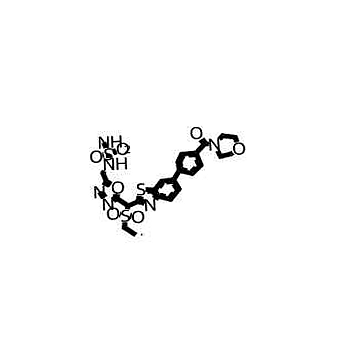 [CH2]CS(=O)(=O)C(c1nnc(CNS(N)(=O)=O)o1)c1nc2ccc(-c3ccc(C(=O)N4CCOCC4)cc3)cc2s1